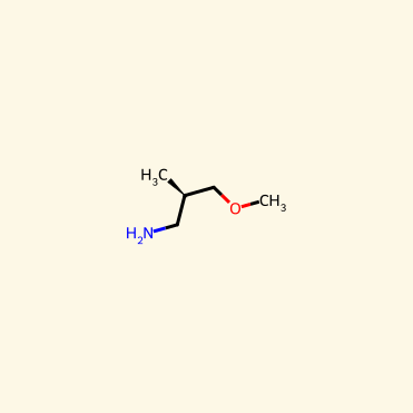 COC[C@H](C)CN